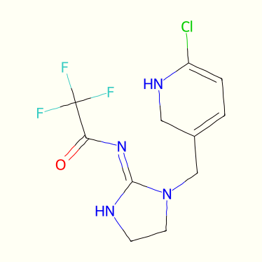 O=C(/N=C1\NCCN1CC1=CC=C(Cl)NC1)C(F)(F)F